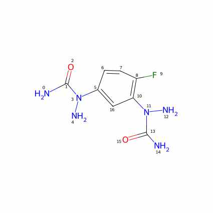 NC(=O)N(N)c1ccc(F)c(N(N)C(N)=O)c1